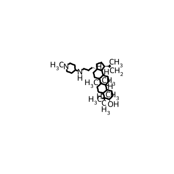 C=C(C)[C@@H]1CC[C@]2(CCCNC3CCN(C)CC3)CC[C@]3(C)[C@H](CC[C@@H]4[C@@]5(C)CC[C@H](O)C(C)(C)[C@@H]5CC[C@]43C)[C@@H]12